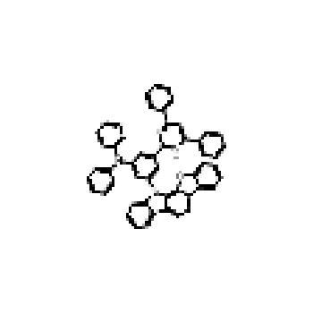 C1=C(c2ccccc2)NC(c2cc(N(c3ccccc3)c3ccccc3)cc(-n3c4ccccc4c4ccc5c6ccccc6oc5c43)c2)N=C1c1ccccc1